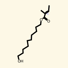 C/C=C(\C)C(=O)OCCCCCCCCCCO